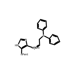 C=CCB(c1ccccc1)c1ccccc1.CCCCCc1nc[nH]c1CCCCC